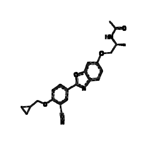 CC(=O)N[C@@H](C)COc1ccc2nc(-c3ccc(OCC4CC4)c(C#N)c3)oc2c1